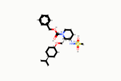 CC(C)[C@H]1CC[C@@H](OC[C@H]2[C@@H](NS(C)(=O)=O)CCCN2C(=O)OCc2ccccc2)CC1